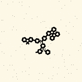 Cc1ccc2c(c1)c1cc(N(c3ccc(-c4ccc5c(c4)C(C)(C)c4ccccc4-5)cc3)c3ccc(-c4ccc5c(c4)C4(c6ccccc6-c6ccccc64)c4ccccc4-5)cc3)ccc1n2-c1ccccc1